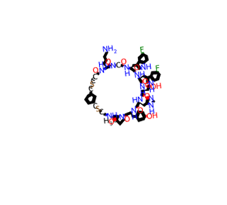 C[C@@]12CCCN1C(=O)[C@H](Cc1ccc(O)cc1)NC(=O)[C@H](Cc1cnc[nH]1)NC(=O)[C@H](CC(=O)O)NC(=O)[C@H](Cc1c[nH]c3ccc(F)cc13)NC(=O)[C@H](Cc1c[nH]c3ccc(F)cc13)NC(=O)CNC(=O)[C@H](CCCCN)NC(=O)CCSCc1cccc(c1)CSCCNC2=O